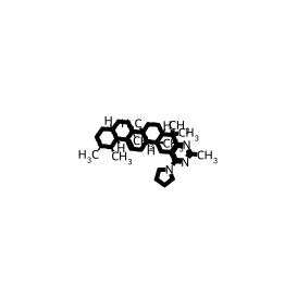 Cc1nc(N2CCCC2)c2c(n1)C(C)(C)[C@@H]1CC[C@]3(C)[C@H](CC=C4[C@H]5[C@@H](CC[C@@H](C)[C@@H]5C)CC[C@]43C)[C@@]1(C)C2